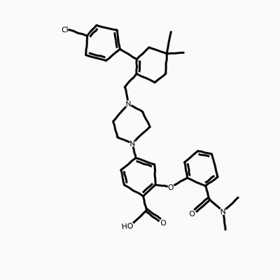 CN(C)C(=O)c1ccccc1Oc1cc(N2CCN(CC3=C(c4ccc(Cl)cc4)CC(C)(C)CC3)CC2)ccc1C(=O)O